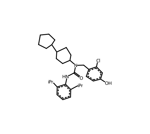 CC(C)c1cccc(C(C)C)c1NC(=O)N(Cc1ccc(O)cc1Cl)C1CCC(C2CCCCC2)CC1